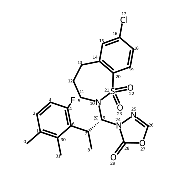 Cc1ccc(F)c(C(C)[C@H](N2CCCc3cc(Cl)ccc3S2(=O)=O)n2ncoc2=O)c1C